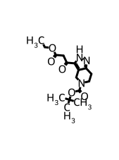 CCOC(=O)CC(=O)c1[nH]nc2c1CN(C(=O)OC(C)(C)C)CC2